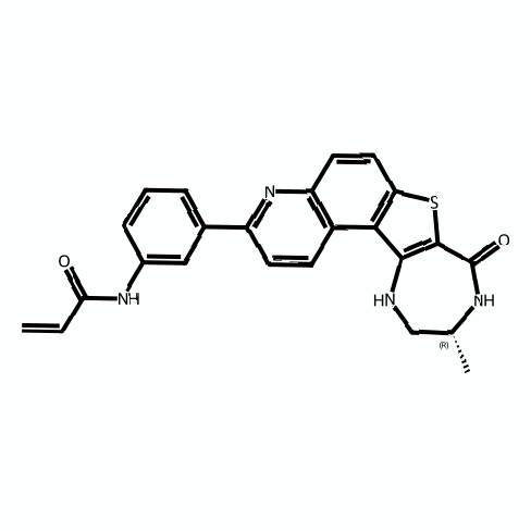 C=CC(=O)Nc1cccc(-c2ccc3c(ccc4sc5c(c43)NC[C@@H](C)NC5=O)n2)c1